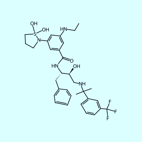 CCNc1cc(C(=O)N[C@@H](Cc2ccccc2)[C@@H](O)CNC(C)(C)c2cccc(C(F)(F)F)c2)cc(N2CCCS2(O)O)c1